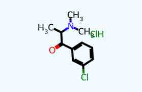 CC(C(=O)c1cccc(Cl)c1)N(C)C.Cl